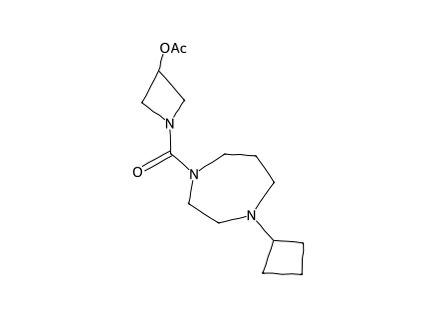 CC(=O)OC1CN(C(=O)N2CCCN(C3CCC3)CC2)C1